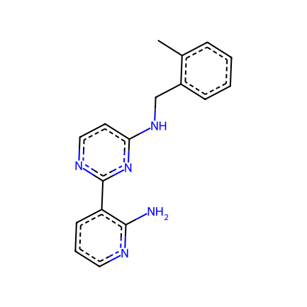 Cc1ccccc1CNc1ccnc(-c2cccnc2N)n1